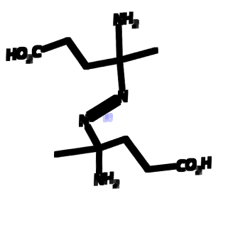 CC(N)(CCC(=O)O)/N=N/C(C)(N)CCC(=O)O